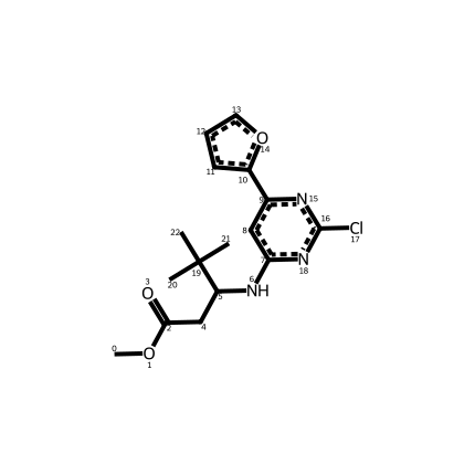 COC(=O)CC(Nc1cc(-c2ccco2)nc(Cl)n1)C(C)(C)C